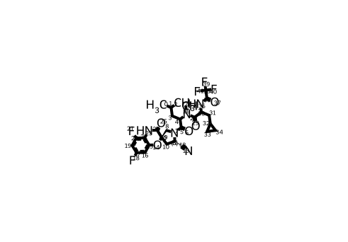 CC(C)CC(C(=O)N1C[C@@]2(C[C@H]1C#N)Oc1cc(F)cc(F)c1NC2=O)N(C)C(=O)C(CC1CC1)NC(=O)C(F)(F)F